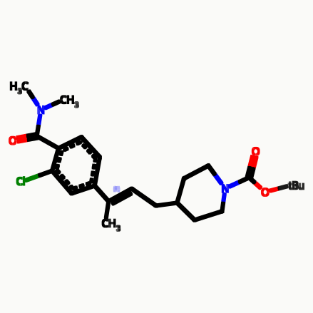 C/C(=C\CC1CCN(C(=O)OC(C)(C)C)CC1)c1ccc(C(=O)N(C)C)c(Cl)c1